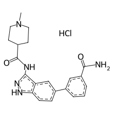 CN1CCC(C(=O)Nc2n[nH]c3ccc(-c4cccc(C(N)=O)c4)cc23)CC1.Cl